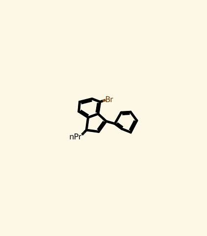 CCCC1C=C(c2ccccc2)c2c(Br)cccc21